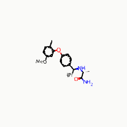 COc1ccc(C)c(Oc2ccc(C(N[C@H](C)C(N)=O)[C](C)C)cc2)c1